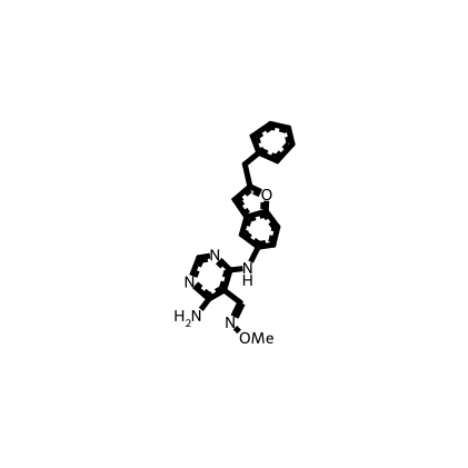 CON=Cc1c(N)ncnc1Nc1ccc2oc(Cc3ccccc3)cc2c1